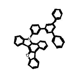 c1ccc(-c2cc(-c3ccccc3)cc(-c3cccc(-n4c5ccccc5c5c6oc7ccccc7c6c6ccccc6c54)c3)c2)cc1